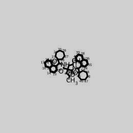 CCCC(CCC)(C(=O)NC(c1cccc2ccccc12)C1(O)CCCCCC1)C(=O)NC(c1cccc2ccccc12)C1(O)CCCCCC1